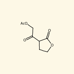 CC(=O)OCC(=O)C1CCOC1=O